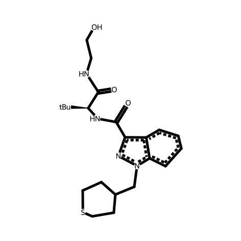 CC(C)(C)[C@H](NC(=O)c1nn(CC2CCSCC2)c2ccccc12)C(=O)NCCO